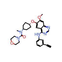 C#Cc1cccc(Nc2ncnc3cc(OC)c(O[C@H]4CC[C@H](N(C)C(=O)N5CCOCC5)CC4)cc23)c1